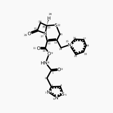 O=C(Cc1csnn1)NOC(=O)C1=C(C[n+]2ccccc2)CS[C@@H]2CC(=O)N12